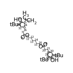 C=C(C)c1cc(CCC(=O)OCCCCCCOC(=O)CCc2cc(C(C)(C)C)c(O)c(C(C)(C)C)c2)cc(C(C)(C)C)c1O